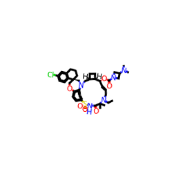 CCN1C/C=C/[C@H](OC(=O)N2CC(N(C)C)C2)[C@@H]2CC[C@H]2CN2C[C@@]3(CCCc4cc(Cl)ccc43)COc3ccc(cc32)S(=O)(=O)NC(=O)C1(C)C